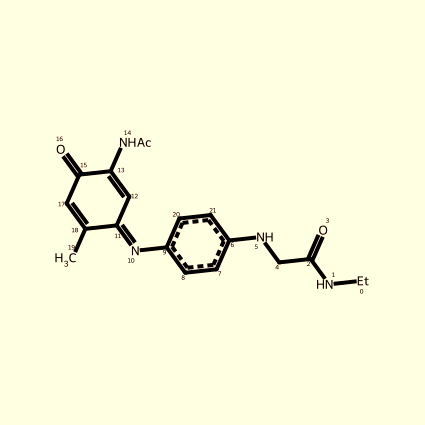 CCNC(=O)CNc1ccc(N=C2C=C(NC(C)=O)C(=O)C=C2C)cc1